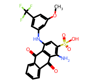 COc1cc(Nc2cc(S(=O)(=O)O)c(N)c3c2C(=O)c2ccccc2C3=O)cc(C(F)(F)F)c1